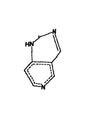 [C]1N=Cc2cnccc2N1